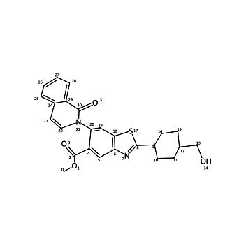 COC(=O)c1cc2nc(C3CCC(CO)CC3)sc2cc1-n1ccc2ccccc2c1=O